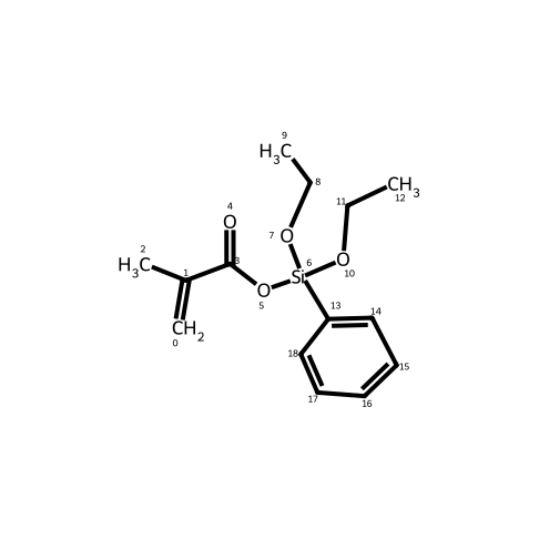 C=C(C)C(=O)O[Si](OCC)(OCC)c1ccccc1